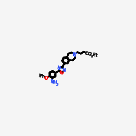 CCOC(=O)CCCN1CCc2ccc(-c3noc(-c4ccc(OC(C)C)c(N)c4)n3)cc2CC1